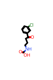 O=C(O)NCCCC(=O)c1cccc(Cl)c1